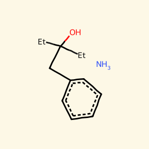 CCC(O)(CC)Cc1ccccc1.N